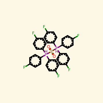 O=S(=O)([PH](c1ccc(F)cc1)(c1ccc(F)cc1)c1ccc(F)cc1)[PH](c1ccc(F)cc1)(c1ccc(F)cc1)c1ccc(F)cc1